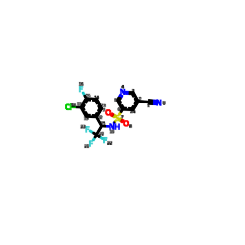 N#Cc1cncc(S(=O)(=O)NC(c2ccc(F)c(Cl)c2)C(F)(F)F)c1